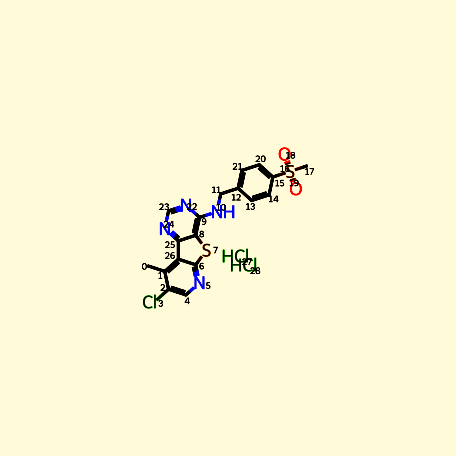 Cc1c(Cl)cnc2sc3c(NCc4ccc(S(C)(=O)=O)cc4)ncnc3c12.Cl.Cl